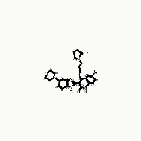 O=C1CCCN1CCCNc1c(-c2nc3cc(N4CCOCC4)ccc3[nH]2)c(=O)[nH]c2ccc(Cl)cc12